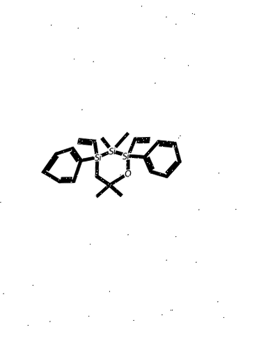 C=C[Si]1(c2ccccc2)CC(C)(C)O[Si](C=C)(c2ccccc2)[Si]1(C)C